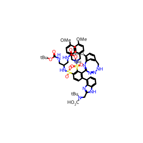 COc1ccc(CN(Cc2ccc(OC)cc2)S(=O)(=O)c2c(S(=O)(=O)NC(CNC(=O)OC(C)(C)C)CNC(=O)OC(C)(C)C)ccc(-c3cccc4[nH]c(CN(C(=O)O)C(C)(C)C)nc34)c2C2=Nc3cc(ccc3OC)CNN=N2)cc1